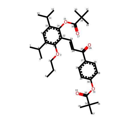 CCCOc1c(C(C)C)cc(C(C)C)c(OC(=O)C(C)(C)C)c1C=CC(=O)c1ccc(OC(=O)C(C)(C)C)cc1